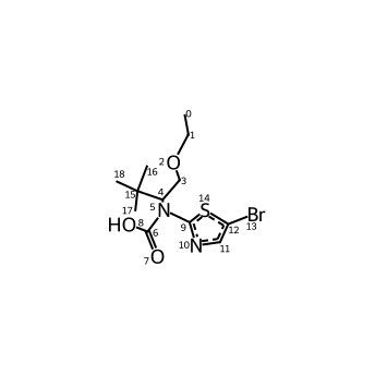 CCOCC(N(C(=O)O)c1ncc(Br)s1)C(C)(C)C